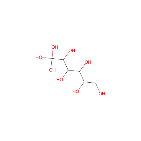 OCC(O)C(O)C(O)C(O)C(O)(O)O